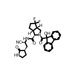 N#C[C@H](C[C@H]1CCNC1=O)NC(=O)[C@H]1[C@@H]2CCC(F)(F)[C@@H]2CN1C(=O)C1(O)c2ccccc2-c2ccccc21